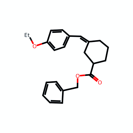 CCOc1ccc(/C=C2/CCCC(C(=O)OCc3ccccc3)C2)cc1